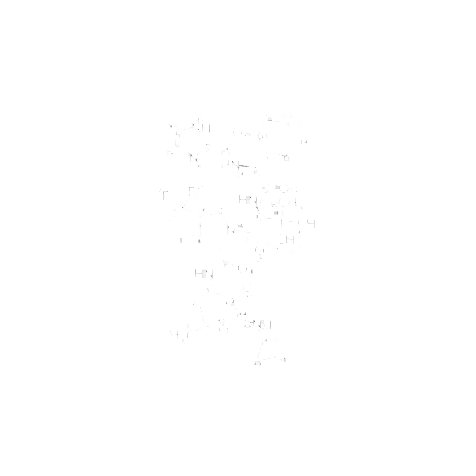 CCC[C@H](NC(=O)[C@@H]1C2CCC(F)(F)C2CN1C(=O)[C@@H](NC(=O)[C@@H](NC(=O)c1ncc[nH]1)C1CCCCC1)C(C)(C)C)C(=O)C(=O)NC1CC1